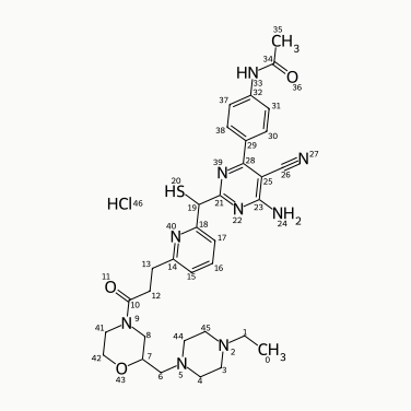 CCN1CCN(CC2CN(C(=O)CCc3cccc(C(S)c4nc(N)c(C#N)c(-c5ccc(NC(C)=O)cc5)n4)n3)CCO2)CC1.Cl